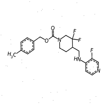 Cc1ccc(COC(=O)N2CCC(CNc3ccncc3F)C(F)(F)C2)cc1